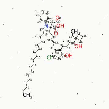 CCCCCCCCCCCCCCCCCCN(c1ccccc1)C(CC=O)(CCC=CC[C@@H]1[C@@H](C=CC[C@H](O)C2(CC)CCC2)[C@H](O)C[C@H]1Cl)C(=O)O